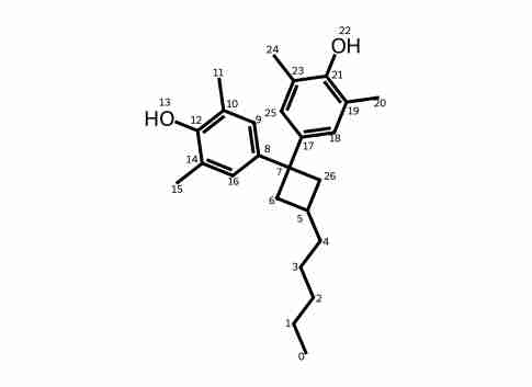 CCCCCC1CC(c2cc(C)c(O)c(C)c2)(c2cc(C)c(O)c(C)c2)C1